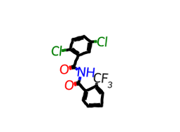 O=C(NC(=O)c1ccccc1C(F)(F)F)c1cc(Cl)ccc1Cl